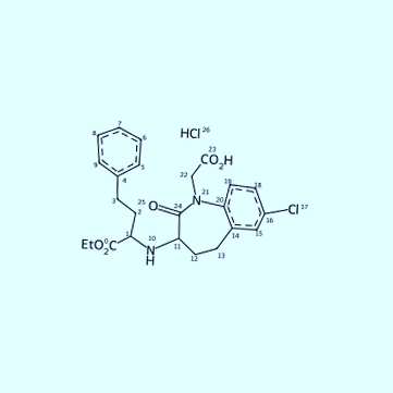 CCOC(=O)C(CCc1ccccc1)NC1CCc2cc(Cl)ccc2N(CC(=O)O)C1=O.Cl